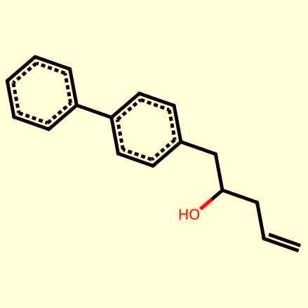 C=CCC(O)Cc1ccc(-c2ccccc2)cc1